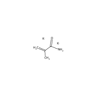 C=C(C)C(N)=O.[K].[K]